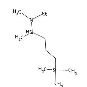 CCN(C)[SiH](C)CCC[Si](C)(C)C